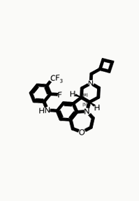 Fc1c(Nc2cc3c4c(c2)[C@@H]2CN(CC5CCC5)CC[C@@H]2N4CCOC3)cccc1C(F)(F)F